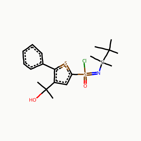 CC(C)(O)c1cc(S(=O)(Cl)=N[Si](C)(C)C(C)(C)C)sc1-c1ccccc1